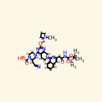 CN1CCC[C@H]1COc1nc2c(c(N3CCN(C(=O)O)C(CC#N)C3)n1)CCN(c1nc(CC(=O)NC(=O)OC(C)(C)C)cc3ccccc13)C2